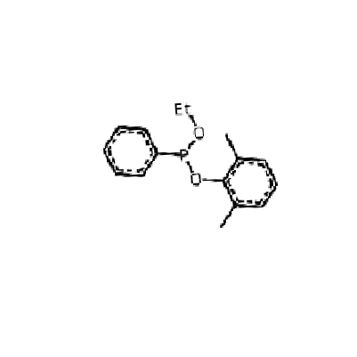 CCOP(Oc1c(C)cccc1C)c1ccccc1